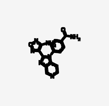 NC(=O)c1ccc(-n2c(-c3nonc3N)nc3cnccc32)cc1